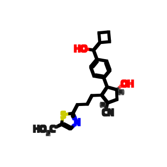 N#C[C@@H]1C[C@@H](O)C(c2ccc(C(O)C3CCC3)cc2)C1CCCc1ncc(C(=O)O)s1